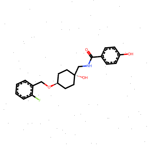 O=C(NC[C@]1(O)CC[C@H](OCc2ccccc2F)CC1)c1ccc(O)cc1